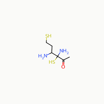 CC(=O)C(N)(S)C(N)CCS